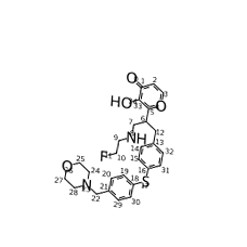 O=c1ccoc(C(CNCCF)Cc2ccc(Sc3ccc(CN4CCOCC4)cc3)cc2)c1O